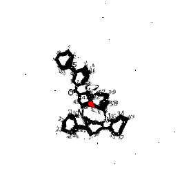 O=c1c2cc(-c3ccccc3)ccc2oc2ccc(-n3c4ccccc4c4ccc5c6ccccc6n(-c6ccccc6)c5c43)cc12